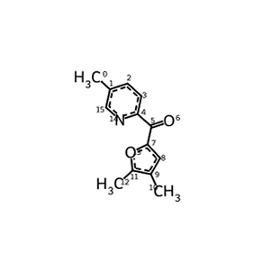 Cc1ccc(C(=O)c2cc(C)c(C)o2)nc1